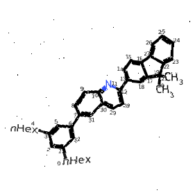 CCCCCCc1cc(CCCCCC)cc(-c2ccc3nc(-c4ccc5c(c4)C(C)(C)c4ccccc4-5)ccc3c2)c1